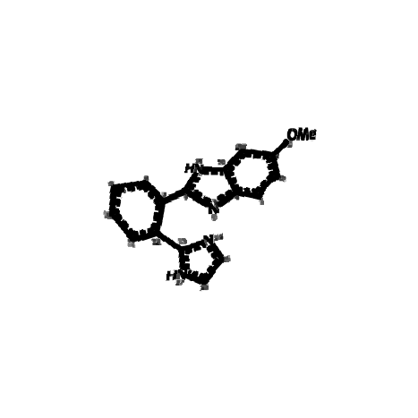 COc1ccc2nc(-c3ccccc3-c3ncc[nH]3)[nH]c2c1